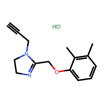 C#CCN1CCN=C1COc1cccc(C)c1C.Cl